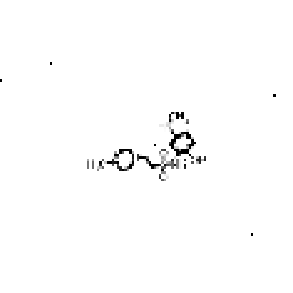 CNc1ccc(O)c(NS(=O)(=O)CCN2CCN(C)CC2)c1